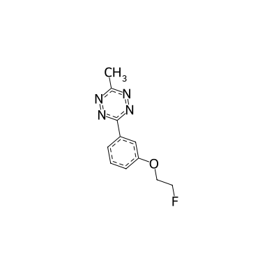 Cc1nnc(-c2cccc(OCCF)c2)nn1